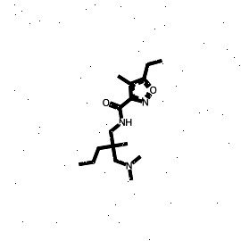 CCCC(C)(CNC(=O)c1noc(CC)c1C)CN(C)C